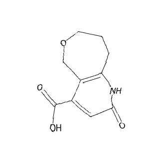 O=C(O)c1cc(=O)[nH]c2c1COCCC2